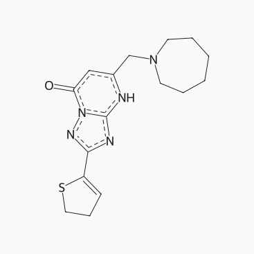 O=c1cc(CN2CCCCCC2)[nH]c2nc(C3=CCCS3)nn12